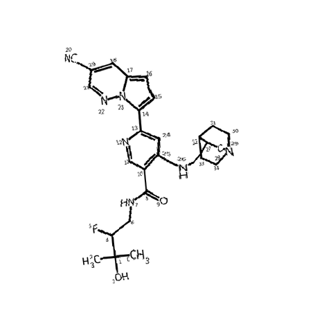 CC(C)(O)C(F)CNC(=O)c1cnc(-c2ccc3cc(C#N)cnn23)cc1NC1CN2CCC1CC2